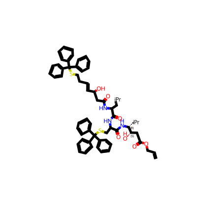 C=CCOC(=O)C[C@H](O)[C@H](NC(=O)C(CSC(c1ccccc1)(c1ccccc1)c1ccccc1)NC(=O)C(CC(C)C)NC(=O)CC(O)C=CCCSC(c1ccccc1)(c1ccccc1)c1ccccc1)C(C)C